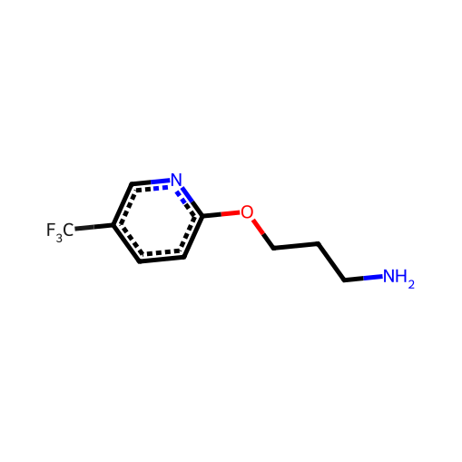 NCCCOc1ccc(C(F)(F)F)cn1